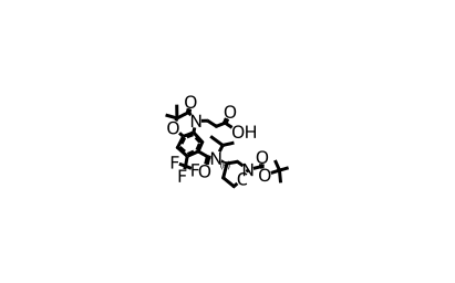 CC(C)N(C(=O)c1cc2c(cc1C(F)(F)F)OC(C)(C)C(=O)N2CCC(=O)O)[C@@H]1CCCN(C(=O)OC(C)(C)C)C1